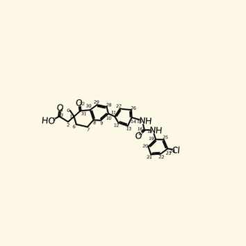 CC1(CC(=O)O)CCc2cc(-c3ccc(NC(=O)Nc4cccc(Cl)c4)cc3)ccc2C1=O